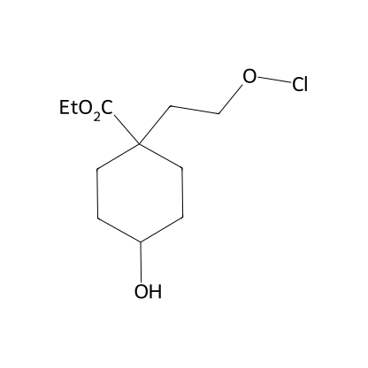 CCOC(=O)C1(CCOCl)CCC(O)CC1